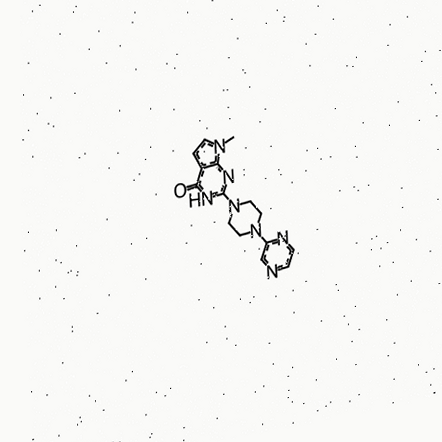 Cn1ccc2c(=O)[nH]c(N3CCN(c4cnccn4)CC3)nc21